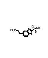 NS(=O)(=O)c1nc2cc(CCC(=O)O)ccc2s1